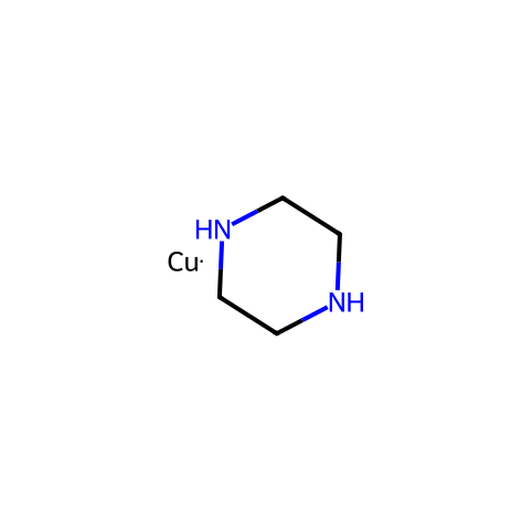 C1CNCCN1.[Cu]